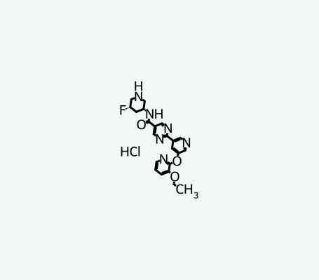 CCOc1cccnc1Oc1cncc(-c2ncc(C(=O)N[C@@H]3CNC[C@@H](F)C3)cn2)c1.Cl